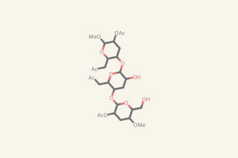 COC1CC(OC(C)=O)C(OC2CC(O)C(OC3CC(OC(C)=O)C(OC)OC3CC(C)=O)OC2CC(C)=O)OC1CO